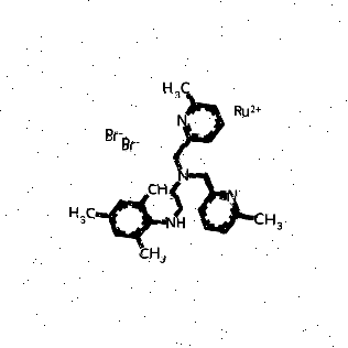 Cc1cc(C)c(NCCN(Cc2cccc(C)n2)Cc2cccc(C)n2)c(C)c1.[Br-].[Br-].[Ru+2]